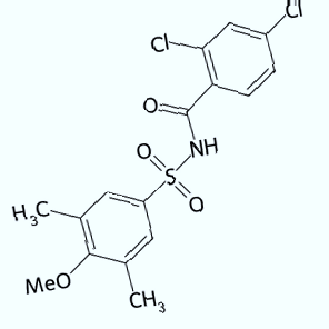 COc1c(C)cc(S(=O)(=O)NC(=O)c2ccc(Cl)cc2Cl)cc1C